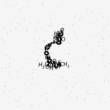 CC(C)(O)c1cc2nn([C@H]3CC[C@H](CN4CCC5(CC4)CC(CCNc4cccc6c4C(=O)N(C4CCC(=O)NC4=O)C6=O)C5)CC3)cc2cc1NC(=O)c1cccc(C(C)(F)F)n1